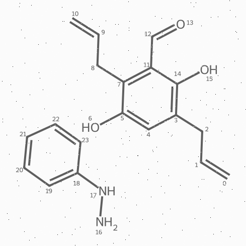 C=CCc1cc(O)c(CC=C)c(C=O)c1O.NNc1ccccc1